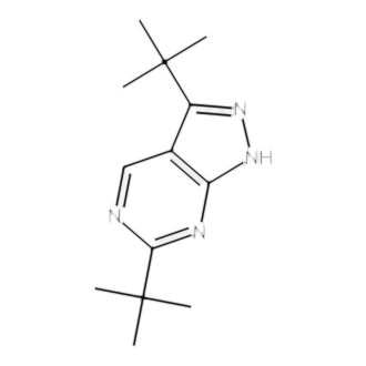 CC(C)(C)c1ncc2c(C(C)(C)C)n[nH]c2n1